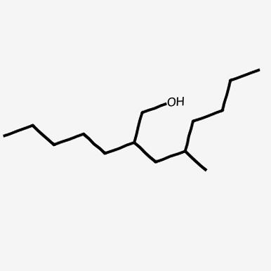 CCCCCC(CO)CC(C)CCCC